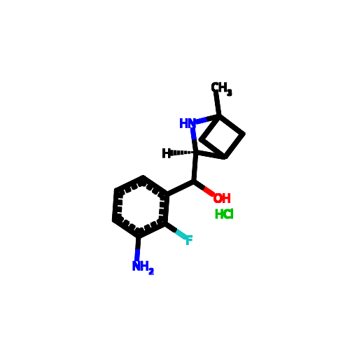 CC12CC(C1)[C@@H](C(O)c1cccc(N)c1F)N2.Cl